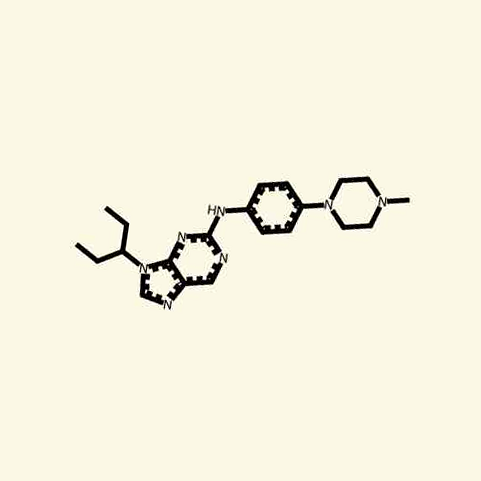 CCC(CC)n1cnc2cnc(Nc3ccc(N4CCN(C)CC4)cc3)nc21